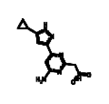 Nc1cc(-c2cc(C3CC3)[nH]n2)nc(C[SH](=O)=O)n1